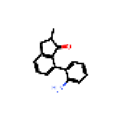 CC1Cc2cccc(-c3ccccc3N)c2C1=O